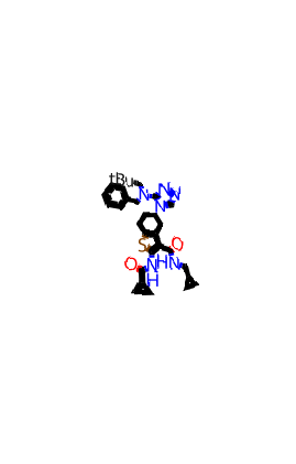 CC(C)(C)CN(Cc1ccccc1)c1nncn1[C@H]1CCc2sc(NC(=O)C3CC3)c(C(=O)NCC3CC3)c2C1